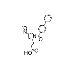 CON=C1CC(CCC(=O)O)N(C(=O)c2ccc(-c3ccccc3)cc2)C1